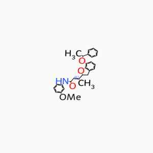 COc1cccc(NC(=O)/C=C(\C)C2Cc3cccc(OC(C)c4ccccc4)c3O2)c1